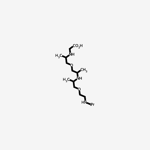 CC(C)NCCOCC(C)NC(C)COCC(C)NCC(=O)O